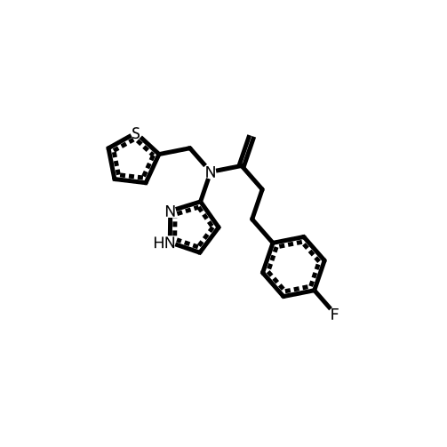 C=C(CCc1ccc(F)cc1)N(Cc1cccs1)c1cc[nH]n1